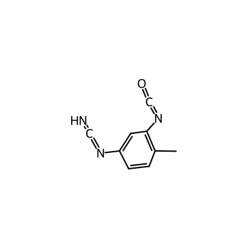 Cc1ccc(N=C=N)cc1N=C=O